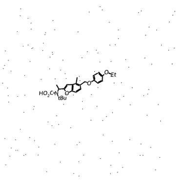 CCOc1ccc(OCc2ccc3oc(C(C)N(C(=O)O)C(C)(C)C)cc3c2C)cc1